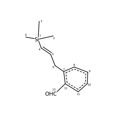 C[Si](C)(C)C=CCc1ccccc1C=O